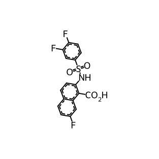 O=C(O)c1c(NS(=O)(=O)c2ccc(F)c(F)c2)ccc2ccc(F)cc12